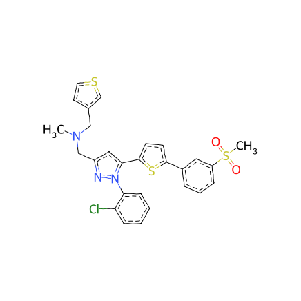 CN(Cc1ccsc1)Cc1cc(-c2ccc(-c3cccc(S(C)(=O)=O)c3)s2)n(-c2ccccc2Cl)n1